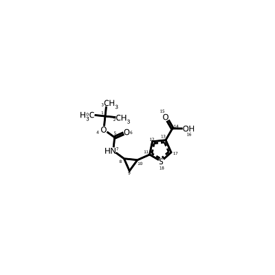 CC(C)(C)OC(=O)NC1CC1c1cc(C(=O)O)cs1